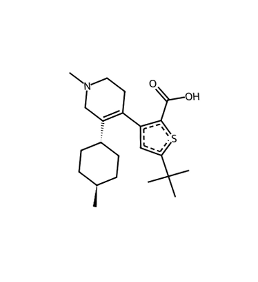 CN1CCC(c2cc(C(C)(C)C)sc2C(=O)O)=C([C@H]2CC[C@H](C)CC2)C1